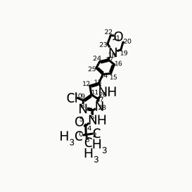 CC(C)(C)C(=O)Nc1nc(Cl)c2cc(-c3ccc(N4CCOCC4)cc3)[nH]c2n1